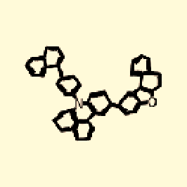 c1ccc(-c2cc(-c3ccc4oc5ccc6ccccc6c5c4c3)ccc2N(c2ccccc2)c2ccc(-c3cccc4ccccc34)cc2)cc1